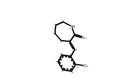 O=C1NCCCCC1=Cc1ccccc1Cl